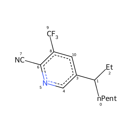 CCCCCC(CC)c1cnc(C#N)c(C(F)(F)F)c1